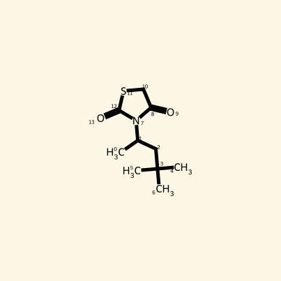 CC(CC(C)(C)C)N1C(=O)CSC1=O